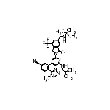 CC(C)CNc1cc(-c2cc(C#N)ccc2-c2nncn2C)cc(N2Cc3c(cc(CNC(C)(C)C)cc3C(F)(F)F)C2=O)n1